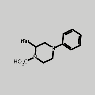 CC(C)(C)C1CN(c2ccccc2)CCN1C(=O)O